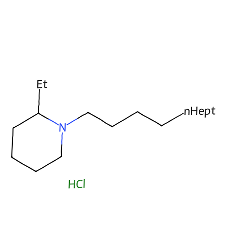 CCCCCCCCCCCN1CCCCC1CC.Cl